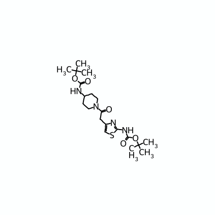 CC(C)(C)OC(=O)Nc1nc(CC(=O)N2CCC(NC(=O)OC(C)(C)C)CC2)cs1